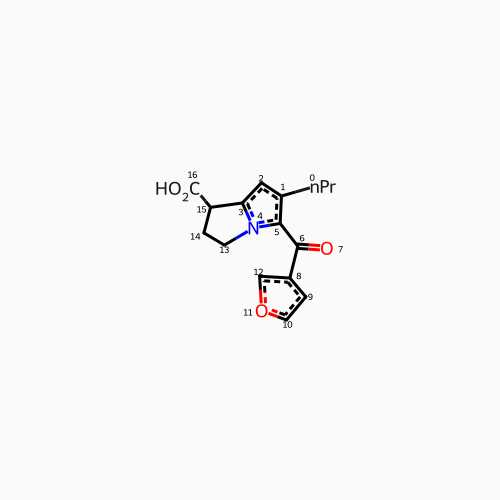 CCCc1cc2n(c1C(=O)c1ccoc1)CCC2C(=O)O